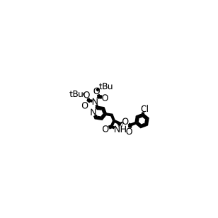 CC(C)(C)OC(=O)N(C(=O)OC(C)(C)C)c1cc(CC2C(=O)N[C@@H]2OC(=O)c2cccc(Cl)c2)ccn1